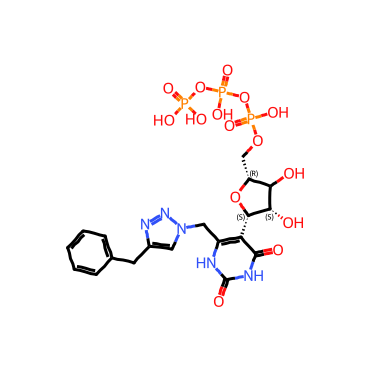 O=c1[nH]c(Cn2cc(Cc3ccccc3)nn2)c([C@@H]2O[C@H](COP(=O)(O)OP(=O)(O)OP(=O)(O)O)C(O)[C@@H]2O)c(=O)[nH]1